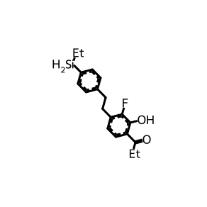 CC[SiH2]c1ccc(CCc2ccc(C(=O)CC)c(O)c2F)cc1